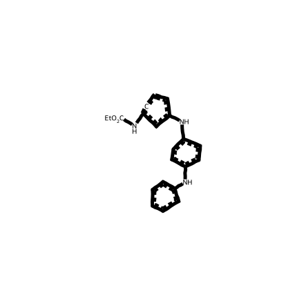 CCOC(=O)Nc1cccc(Nc2ccc(Nc3ccccc3)cc2)c1